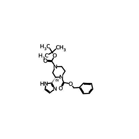 CC(C)(C)OC(=O)N1CCN(C(=O)OCc2ccccc2)[C@H](c2ncc[nH]2)C1